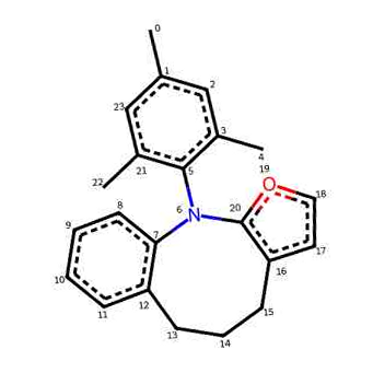 Cc1cc(C)c(N2c3ccccc3CCCc3ccoc32)c(C)c1